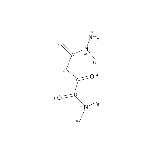 C=C(CC(=O)C(=O)N(C)C)N(C)N